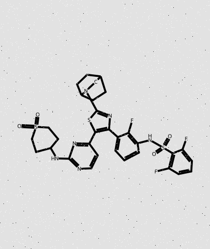 O=S1(=O)CCC(Nc2nccc(-c3sc(N4CC5CCC4CC5)nc3-c3cccc(NS(=O)(=O)c4c(F)cccc4F)c3F)n2)CC1